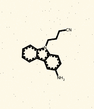 N#CCCCn1c2ccccc2c2cc(N)ccc21